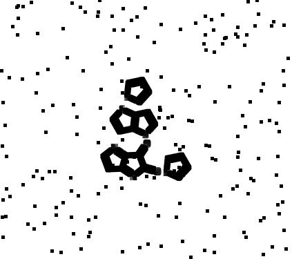 O=c1nc2ccnc-2c1=O.c1cc2sccc2s1.c1ccsc1.c1ccsc1